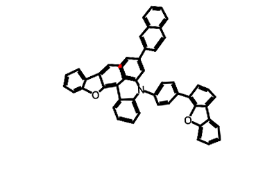 c1cc(-c2ccc3ccccc3c2)cc(N(c2ccc(-c3cccc4c3oc3ccccc34)cc2)c2ccccc2-c2cccc3c2oc2ccccc23)c1